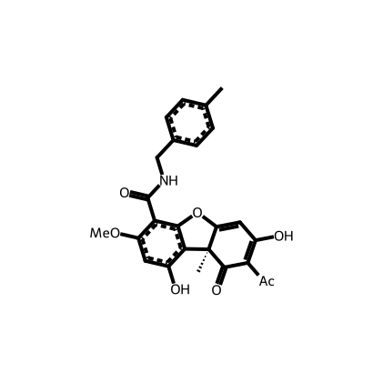 COc1cc(O)c2c(c1C(=O)NCc1ccc(C)cc1)OC1=CC(O)=C(C(C)=O)C(=O)[C@]12C